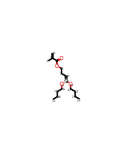 C=C(C)C(=O)OCCC[SiH](OCCCC)OCCCC